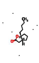 CCCCC[C@@]12CCC[C@@H]1CC(=O)O2